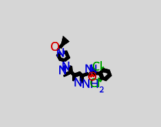 Nc1ncc(-c2cnn(C3CCN(C(=O)C4CC4)CC3)c2)cc1-c1nnc(-c2c(Cl)cccc2Cl)o1